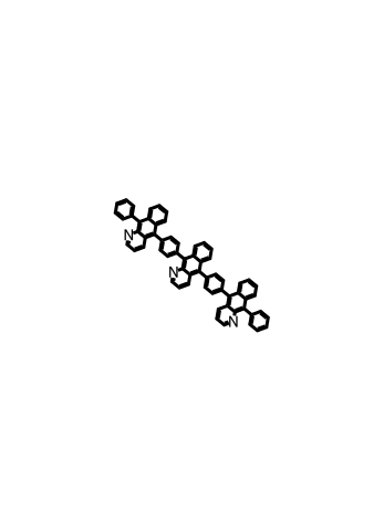 c1ccc(-c2c3ccccc3c(-c3ccc(-c4c5ccccc5c(-c5ccc(-c6c7ccccc7c(-c7ccccc7)c7ncccc67)cc5)c5ncccc45)cc3)c3cccnc23)cc1